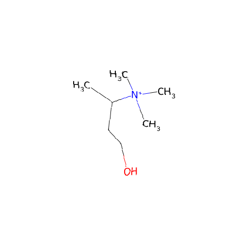 CC(CCO)[N+](C)(C)C